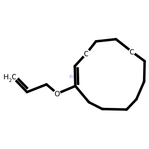 C=CCO/C1=C/CCCCCCCCCC1